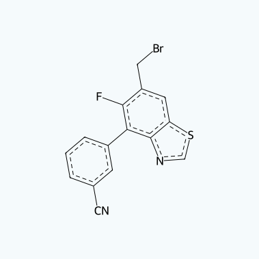 N#Cc1cccc(-c2c(F)c(CBr)cc3scnc23)c1